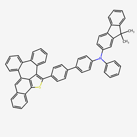 CC1(C)c2ccccc2-c2ccc(N(c3ccccc3)c3ccc(-c4ccc(-c5sc6c7c(cc8ccccc86)-c6ccccc6-c6ccccc6-c57)cc4)cc3)cc21